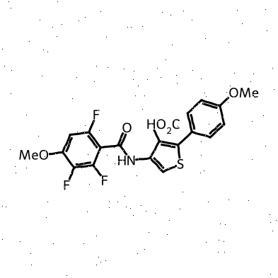 COc1ccc(-c2scc(NC(=O)c3c(F)cc(OC)c(F)c3F)c2C(=O)O)cc1